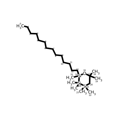 CCCCCCCCCCCCCC[Si]1(C)OC(C)(C)C[Si](C)(C)[Si]1(C)C